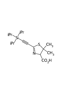 CC(C)[Si](C#CC1=NC(C(=O)O)C(C)(C)S1)(C(C)C)C(C)C